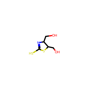 OCC1N=C(S)SC1CO